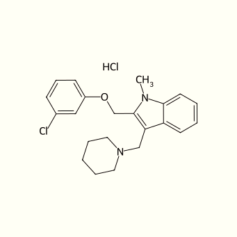 Cl.Cn1c(COc2cccc(Cl)c2)c(CN2CCCCC2)c2ccccc21